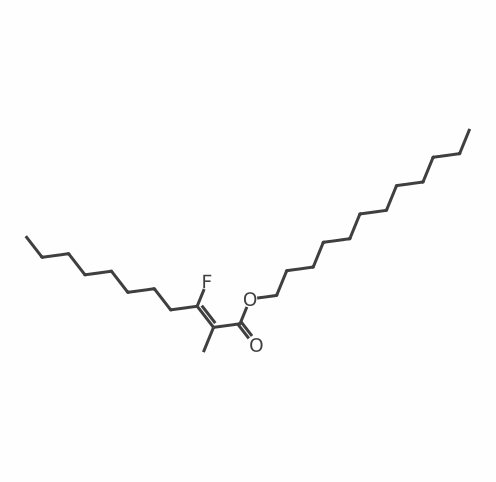 CCCCCCCCCCCCOC(=O)C(C)=C(F)CCCCCCCC